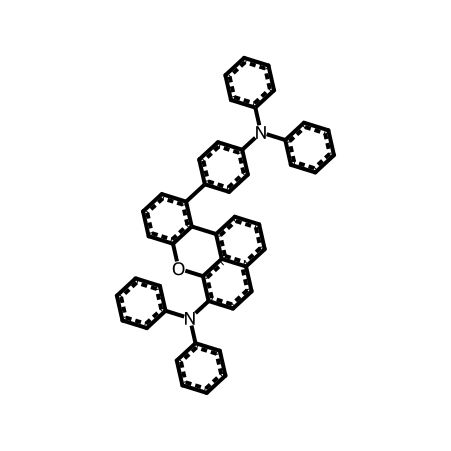 c1ccc(N(c2ccccc2)c2ccc(-c3cccc4c3-c3cccc5ccc(N(c6ccccc6)c6ccccc6)c(c35)O4)cc2)cc1